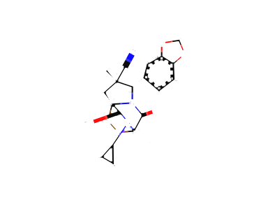 C[C@]1(C#N)C[C@@]23SS[C@](C)(C(=O)N2[C@H]1c1ccc2c(c1)OCO2)N(C1CC1)C3=O